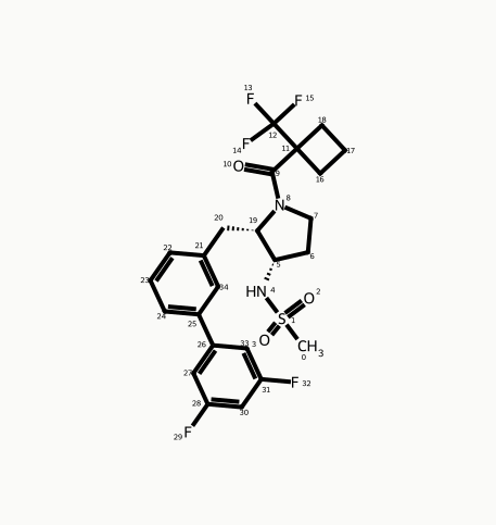 CS(=O)(=O)N[C@H]1CCN(C(=O)C2(C(F)(F)F)CCC2)[C@H]1Cc1cccc(-c2cc(F)cc(F)c2)c1